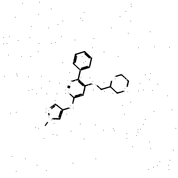 Cn1cc(Nc2cc(NCC3CNCCO3)c(-c3ccccc3)nn2)cn1